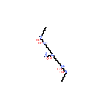 CCCCCCCN(C)C(O)CC(O)NCCCCCCCCN(CCCCCCCCNC(O)CC(O)N(C)CCCCCCC)C(=O)CC(=O)NC